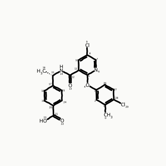 Cc1cc(Oc2ncc(Cl)cc2C(=O)N[C@@H](C)c2ccc(C(=O)O)cc2)ccc1Cl